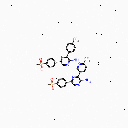 CS(=O)(=O)c1ccc(-c2cnc(N)c(-c3ccc(C(F)(F)F)cc3)n2)cc1.CS(=O)(=O)c1ccc(-c2cnc(N)c(-c3ccc(C(F)(F)F)nc3)n2)cc1